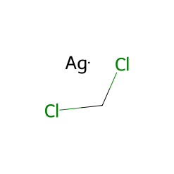 ClCCl.[Ag]